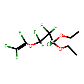 CCO[Si](Cl)(OCC)C(F)(F)C(F)(F)OC(F)=C(F)F